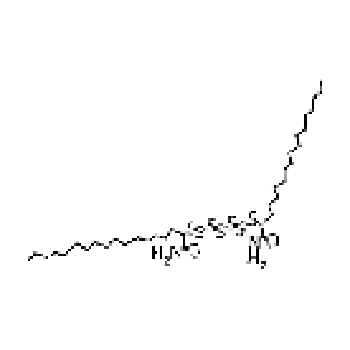 CCCCCCCCCCCCCCCCC(SSSSSSSC(CCCCCCCCCCCCCCCC)C(N)=O)C(N)=O